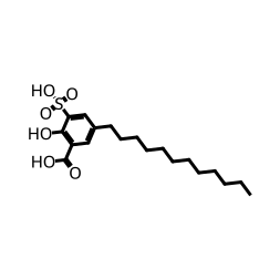 CCCCCCCCCCCCc1cc(C(=O)O)c(O)c(S(=O)(=O)O)c1